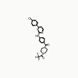 O=C(c1ccc(Nc2nccc(-c3ccc(Cl)cc3)n2)cc1)N1CCN(C(=O)C(F)(F)F)CC1